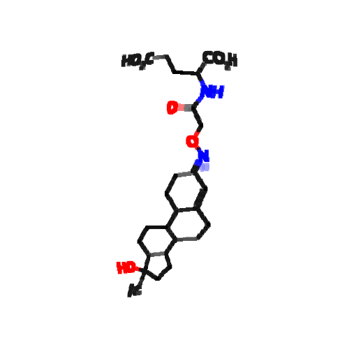 CC(=O)C1(O)CCC2C3CCC4=C/C(=N/OCC(=O)NC(CCC(=O)O)C(=O)O)CCC4C3CCC21